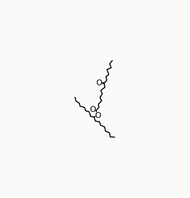 CCCCCCCCC(CCCCCCCC)OC(=O)CCCCCCCC(=O)CCCCCCC